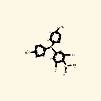 Cc1ccc(N(c2ccc(C)cc2)c2cc(Cl)c(B(O)O)c(Cl)c2)cc1